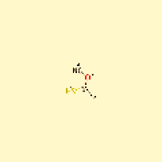 CC(S)OC#N